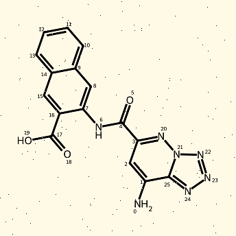 Nc1cc(C(=O)Nc2cc3ccccc3cc2C(=O)O)nn2nnnc12